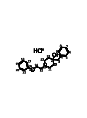 Cl.OC1(Cc2ccccc2)CCN(CCOc2ccccc2)CC1